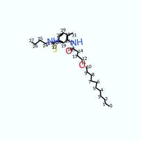 CCCCCCCCCCCOCCCC(=O)Nc1cc(C(=S)NCCCC)ccc1C